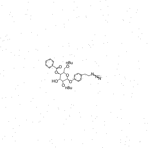 CCCCOCC1O[C@@H](Oc2ccc(CCN=[N+]=[N-])cc2)C(OCCCC)C(O)[C@H]1OC(=O)c1ccccc1